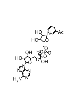 CC(=O)C1=CN([C@@H]2O[C@H](COP(=O)(O)OP(=O)(O)OC[C@H]3O[C@@H](n4cnc5c(N)ncnc54)[C@H](O)[C@@H]3O)[C@@H](O)[C@H]2O)C=CC1